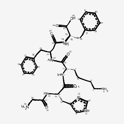 NCCCC[C@H](NC(=O)[C@H](Cc1c[nH]cn1)NC(=O)CN)C(=O)NC(Cc1ccccc1)C(=O)N[C@@H](Cc1ccccc1)C(=O)O